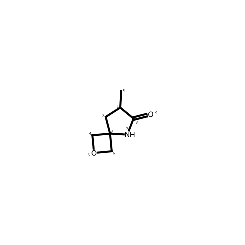 CC1CC2(COC2)NC1=O